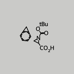 CC(C)(C)OC(=O)N1CC1C(=O)O.c1ccc2c(c1)C2